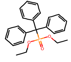 CCOP(=O)(OCC)C(c1ccccc1)(c1ccccc1)c1ccccc1